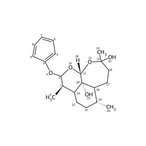 C[C@H]1C(Oc2ccccc2)O[C@@H]2OC(C)(O)CCC3[C@H](C)CCC1[C@]32O